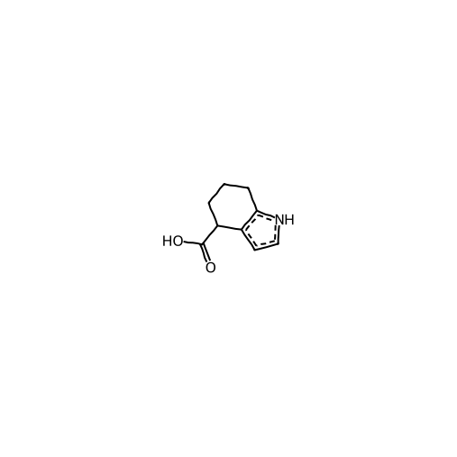 O=C(O)C1CCCc2[nH]ccc21